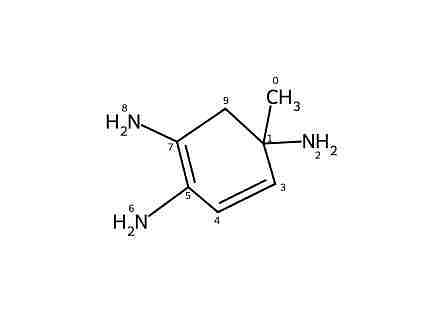 CC1(N)C=CC(N)=C(N)C1